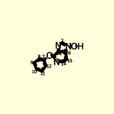 On1cnc2c(Oc3ccccc3)nccc21